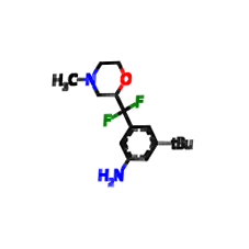 CN1CCOC(C(F)(F)c2cc(N)cc(C(C)(C)C)c2)C1